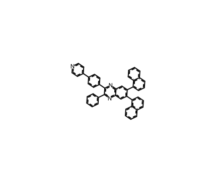 c1ccc(-c2nc3cc(-c4cccc5ccccc45)c(-c4cccc5ccccc45)cc3nc2-c2ccc(-c3ccncc3)cc2)cc1